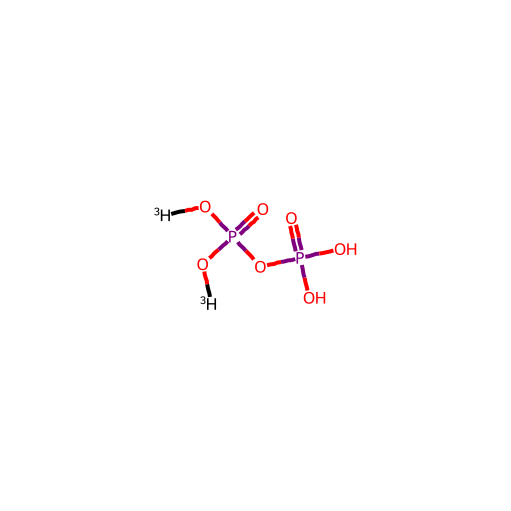 [3H]OP(=O)(O[3H])OP(=O)(O)O